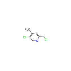 FC(F)(F)c1cc(CCl)ncc1Cl